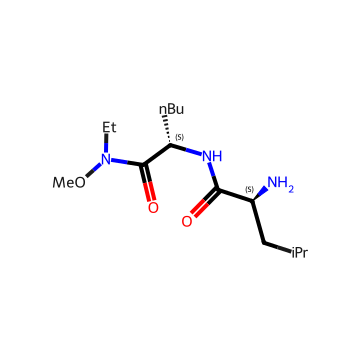 CCCC[C@H](NC(=O)[C@@H](N)CC(C)C)C(=O)N(CC)OC